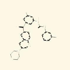 O=C(Nc1cccc(Cl)c1)Nc1cc(F)cc(C(=O)c2ccc3ncc(N4CCOCC4)cc3c2)c1